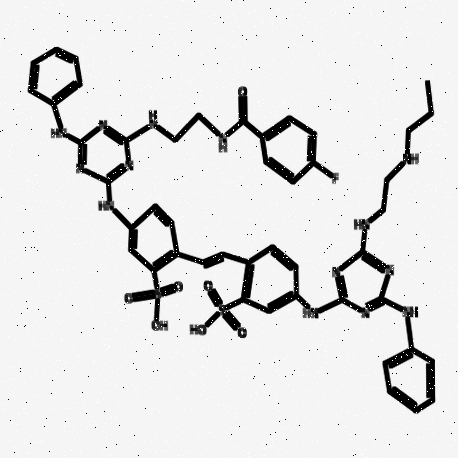 CCCNCCNc1nc(Nc2ccccc2)nc(Nc2ccc(/C=C/c3ccc(Nc4nc(NCCNC(=O)c5ccc(F)cc5)nc(Nc5ccccc5)n4)cc3S(=O)(=O)O)c(S(=O)(=O)O)c2)n1